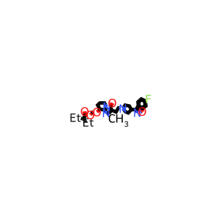 CCC(CC)C(=O)OCOC1CCCn2c1nc(C)c(CCN1CCC(c3noc4cc(F)ccc34)CC1)c2=O